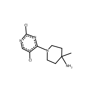 CC1(N)CCN(c2nc(Cl)ncc2Cl)CC1